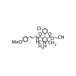 COc1ccc(C=CCNC(=O)C2=C(C)NC(C)=C(C(=O)OCCC#N)C2c2cccc(Cl)c2)cc1